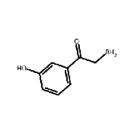 BCC(=O)c1cccc(O)c1